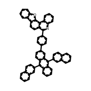 c1ccc2cc(-c3c4ccccc4c(-c4ccc5ccccc5c4)c4cc(-c5ccc(-c6nc7ccccc7c7c6ccc6c8ccccc8oc67)cc5)ccc34)ccc2c1